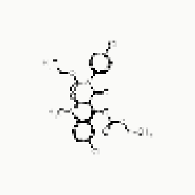 CCOC(=O)Oc1c(C(=O)N(C(=O)OCC)c2ccc(Cl)cc2)c(=O)n(C)c2ccc(Cl)cc12